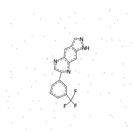 FC(F)(F)c1cccc(-c2cnc3cc4cn[nH]c4cc3n2)c1